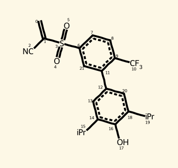 C=C(C#N)S(=O)(=O)c1ccc(C(F)(F)F)c(-c2cc(C(C)C)c(O)c(C(C)C)c2)c1